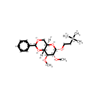 CO[C@@H]1[C@@H](OC)[C@@H](OCC[Si](C)(C)C)O[C@@H]2COC(c3ccccc3)O[C@@H]12